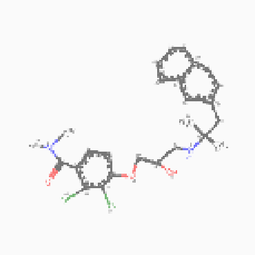 CCCN(CCC)C(=O)c1ccc(OCC(O)CNC(C)(C)Cc2ccc3ccccc3c2)c(Cl)c1Cl